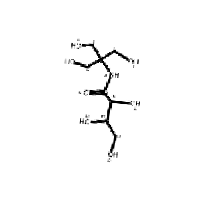 O=C(NC(CO)(CO)CO)C(O)C(O)CO